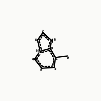 Cc1cccn2c[c]nc12